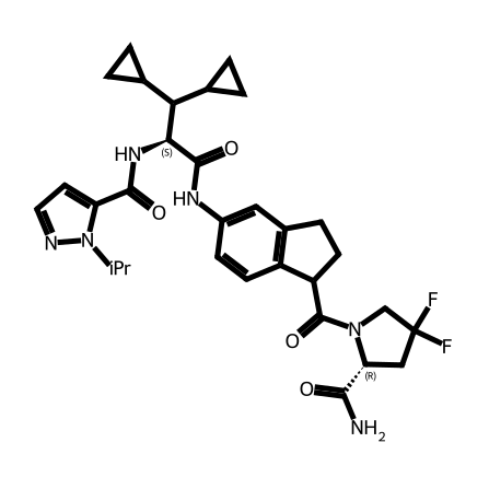 CC(C)n1nccc1C(=O)N[C@H](C(=O)Nc1ccc2c(c1)CCC2C(=O)N1CC(F)(F)C[C@@H]1C(N)=O)C(C1CC1)C1CC1